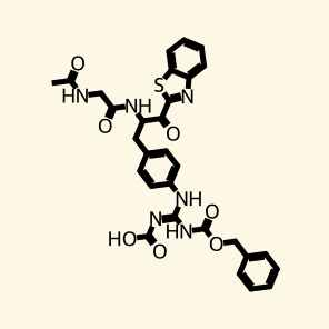 CC(=O)NCC(=O)NC(Cc1ccc(NC(=NC(=O)O)NC(=O)OCc2ccccc2)cc1)C(=O)c1nc2ccccc2s1